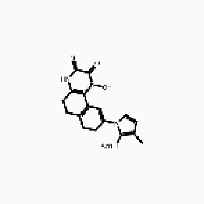 CC(=O)Nc1c(C)ccn1C1=CC2=C(CC1)CCc1[nH]c(=O)c(=O)n(O)c12